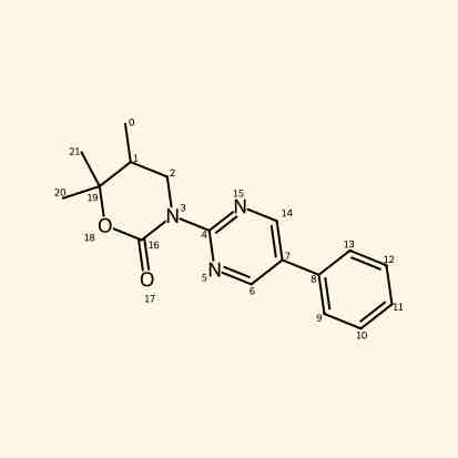 CC1CN(c2ncc(-c3ccccc3)cn2)C(=O)OC1(C)C